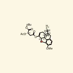 CCCCOC(=O)[C@H](CC(=O)OC1=CC[C@@]2(O)[C@H]3Cc4ccc(OC)c5c4[C@@]2(CCN3C)[C@H]1O5)OC(C)=O